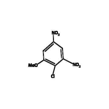 COc1cc([N+](=O)[O-])cc([N+](=O)[O-])c1Cl